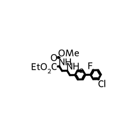 CCOC(=O)C(C[C@H](N)Cc1ccc(-c2cc(Cl)ccc2F)cc1)NC(=O)OC